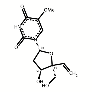 C=C[C@]1(CO)O[C@@H](n2cc(OC)c(=O)[nH]c2=O)C[C@@H]1O